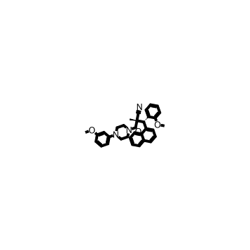 COc1cccc(N2CCN(C(=O)[C@](C)(C#N)[C@H](c3ccccc3OC)c3cccc4ccccc34)CC2)c1